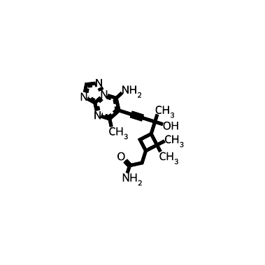 Cc1nc2ncnn2c(N)c1C#CC(C)(O)C1CC(CC(N)=O)C1(C)C